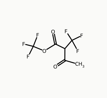 CC(=O)C(C(=O)OC(F)(F)F)C(F)(F)F